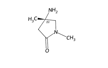 CN1C[C@@](C)(N)CC1=O